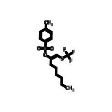 CCCCCCC(=CSC(F)(F)F)OS(=O)(=O)c1ccc(C)cc1